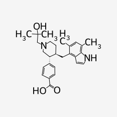 Cc1cc(C)c2[nH]ccc2c1C[C@@H]1CCN(CC(C)(C)O)C[C@H]1c1ccc(C(=O)O)cc1